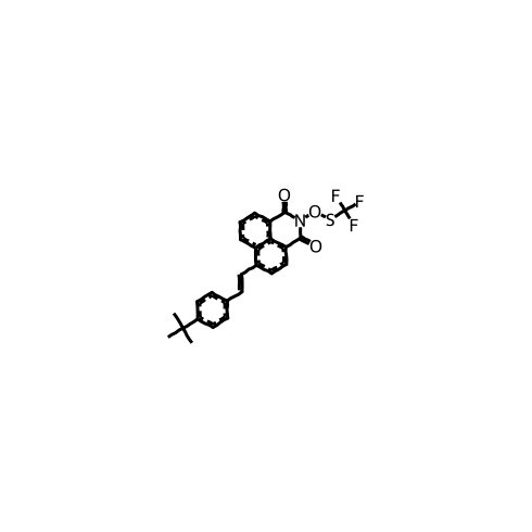 CC(C)(C)c1ccc(/C=C/c2ccc3c4c(cccc24)C(=O)N(OSC(F)(F)F)C3=O)cc1